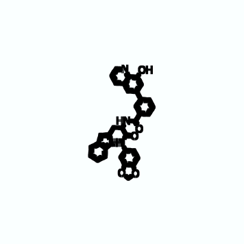 O=C(NC(Cc1cc2ccccc2[nH]1)C(=O)Nc1ccc2c(c1)OCO2)c1cccc(-c2cc(O)c3ncccc3c2)c1